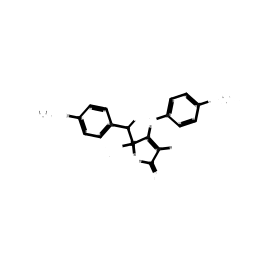 CCOC(=O)C1(C(S)c2ccc(OC)cc2)OC(=O)C(O)=C1Sc1ccc(OC)cc1